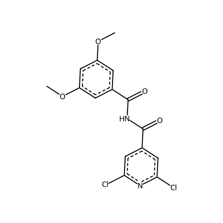 COc1cc(OC)cc(C(=O)NC(=O)c2cc(Cl)nc(Cl)c2)c1